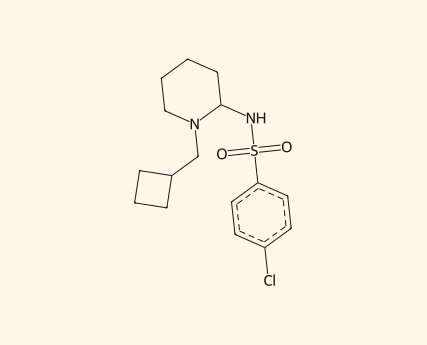 O=S(=O)(NC1CCCCN1CC1CCC1)c1ccc(Cl)cc1